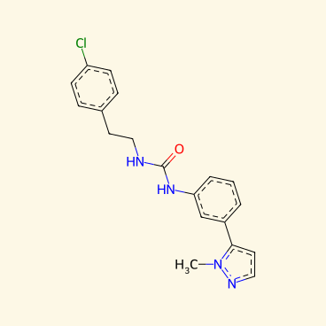 Cn1nccc1-c1cccc(NC(=O)NCCc2ccc(Cl)cc2)c1